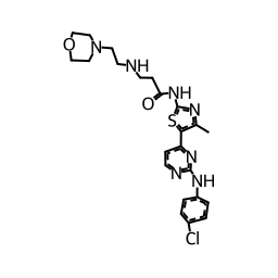 Cc1nc(NC(=O)CCNCCN2CCOCC2)sc1-c1ccnc(Nc2ccc(Cl)cc2)n1